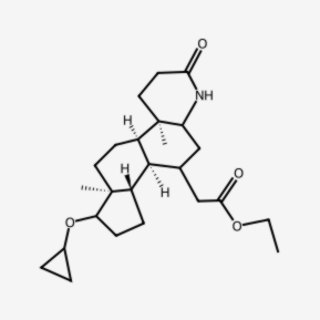 CCOC(=O)CC1CC2NC(=O)CC[C@]2(C)[C@@H]2CC[C@]3(C)C(OC4CC4)CC[C@H]3[C@H]12